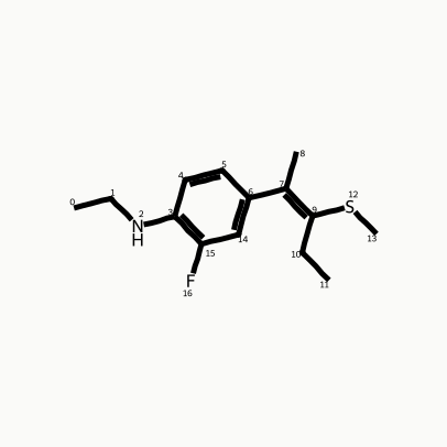 CCNc1ccc(/C(C)=C(\CC)SC)cc1F